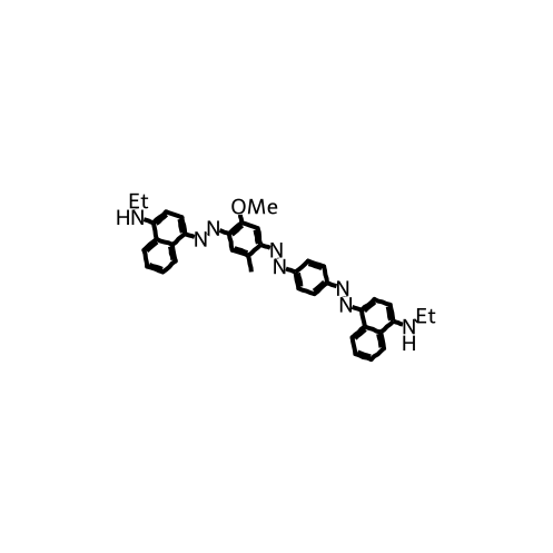 CCNc1ccc(N=Nc2ccc(N=Nc3cc(OC)c(N=Nc4ccc(NCC)c5ccccc45)cc3C)cc2)c2ccccc12